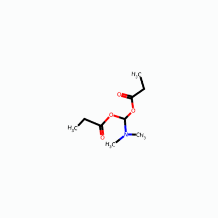 CCC(=O)OC(OC(=O)CC)N(C)C